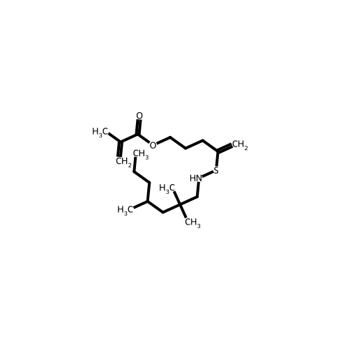 C=C(CCCOC(=O)C(=C)C)SNCC(C)(C)CC(C)CCC